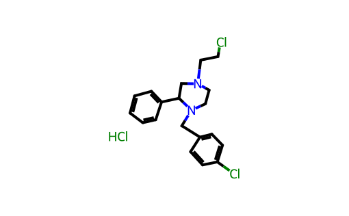 Cl.ClCCN1CCN(Cc2ccc(Cl)cc2)C(c2ccccc2)C1